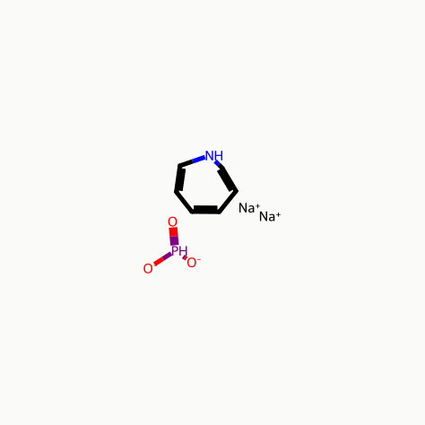 C1=CC=CNC=C1.O=[PH]([O-])[O-].[Na+].[Na+]